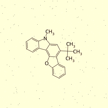 Cn1c2ccccc2c2c3oc4ccccc4c3c(C(C)(C)C)cc21